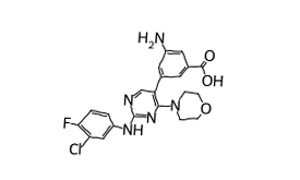 Nc1cc(C(=O)O)cc(-c2cnc(Nc3ccc(F)c(Cl)c3)nc2N2CCOCC2)c1